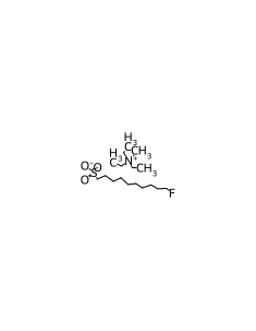 CC[N+](CC)(CC)CC.O=S(=O)([O-])CCCCCCCCCCF